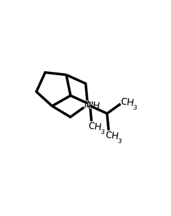 CNC1C2CCC1CN(C(C)C)C2